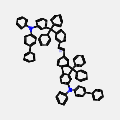 C(=C\c1ccc2c(c1)C(c1ccccc1)(c1ccccc1)c1cc(N(c3ccccc3)c3ccc(-c4ccccc4)cc3)ccc1-2)/c1cccc(C(c2ccccc2)(c2ccccc2)c2cccc(N(c3ccccc3)c3ccc(-c4ccccc4)cc3)c2)c1